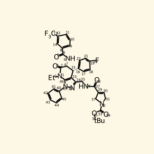 CCN1C(=O)[C@H](NC(=O)c2cccc(C(F)(F)F)c2)[C@H](c2ccc(F)cc2)c2c(CNC(=O)C3=CCN(C(=O)OC(C)(C)C)C3)nn(-c3ccccc3)c21